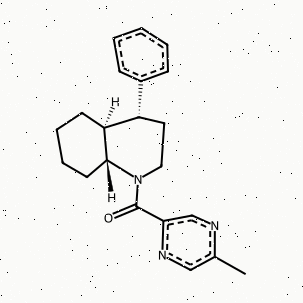 Cc1cnc(C(=O)N2CC[C@@H](c3ccccc3)[C@@H]3CCCC[C@H]32)cn1